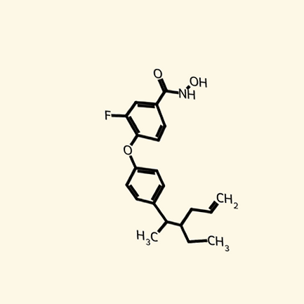 C=CCC(CC)C(C)c1ccc(Oc2ccc(C(=O)NO)cc2F)cc1